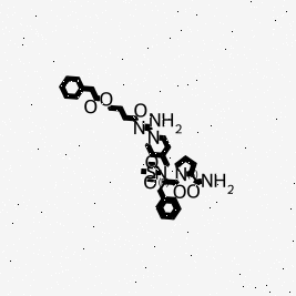 CS(=O)(=O)N(CC1CCN(C(N)=NC(=O)CCCOC(=O)CC2CCCCC2)CC1)[C@H](Cc1ccccc1)C(=O)N1CCC[C@H]1C(N)=O